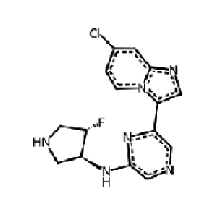 F[C@H]1CNC[C@@H]1Nc1cncc(-c2cnc3cc(Cl)ccn23)n1